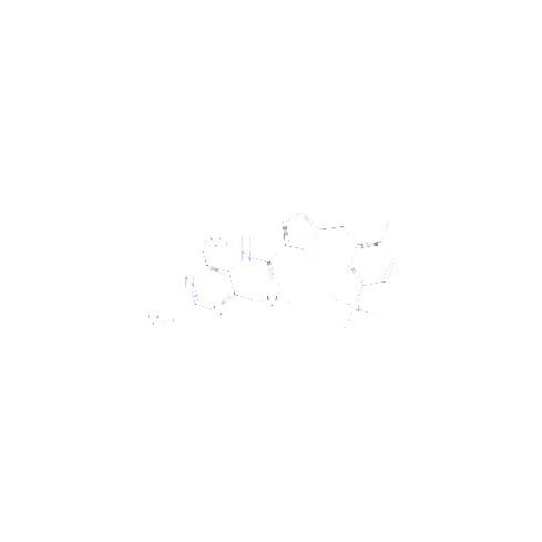 COc1nc(OC)c(NC(=O)c2ccc(Cc3cc([Si](C)(C)C)ccc3C)o2)c(OC)n1